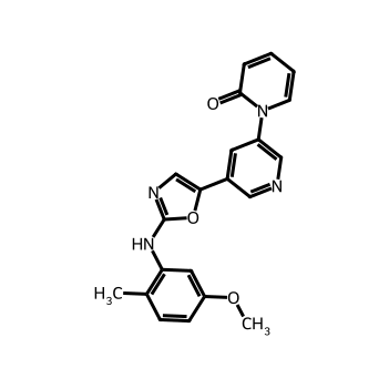 COc1ccc(C)c(Nc2ncc(-c3cncc(-n4ccccc4=O)c3)o2)c1